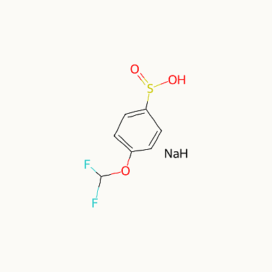 O=S(O)c1ccc(OC(F)F)cc1.[NaH]